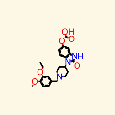 CCOc1cc(CN2CCC(n3c(=O)[nH]c4cc(OC(=O)O)ccc43)CC2)ccc1OC